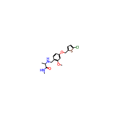 CNC(=O)C(C)NCc1ccc(OCc2ccc(Cl)s2)cc1OC